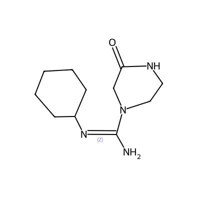 N/C(=N/C1CCCCC1)N1CCNC(=O)C1